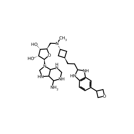 CN(C[C@H]1O[C@@H](N2CNC3C(N)NCNC32)[C@H](O)[C@@H]1O)[C@H]1C[C@H](CCC2Nc3ccc(C4COC4)cc3N2)C1